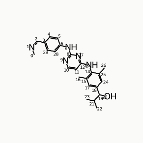 C/N=C\c1ccc(Nc2nccc(Nc3c(C)cc(C(O)C(C)C)cc3C)n2)cc1